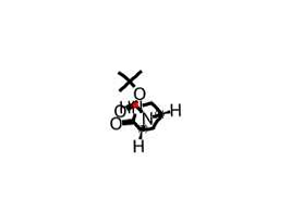 CC(C)(C)OC(=O)N1[C@@H]2CNC(=O)[C@H]1C2